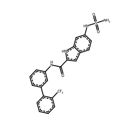 NS(=O)(=O)Nc1ccc2cc(C(=O)Nc3cccc(-c4ccccc4C(F)(F)F)c3)[nH]c2c1